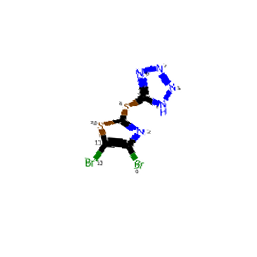 Brc1nc(Sc2nnn[nH]2)sc1Br